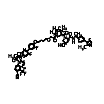 Cc1ncsc1-c1ccc([C@H](C)NC(=O)[C@@H]2C[C@@H](O)CN2C(=O)[C@@H](CNC(=O)COCCCCOc2ccc(-c3ncc(N4C(=S)N(c5ccc(C#N)c(C(F)(F)F)c5F)C(=O)C4(C)C)cc3F)cc2F)C(C)(C)C)cc1